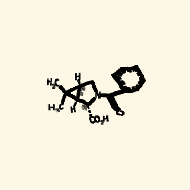 CC1(C)[C@@H]2[C@@H](C(=O)O)N(C(=O)c3ccccc3)C[C@@H]21